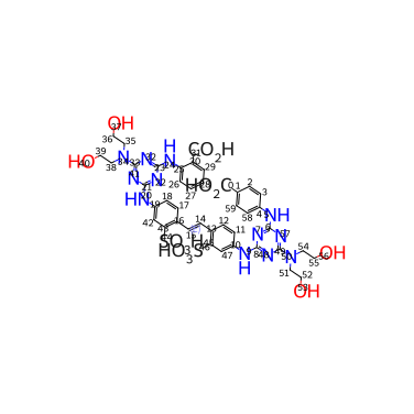 O=C(O)c1ccc(Nc2nc(Nc3ccc(/C=C/c4ccc(Nc5nc(Nc6ccccc6C(=O)O)nc(N(CCO)CCO)n5)cc4S(=O)(=O)O)c(S(=O)(=O)O)c3)nc(N(CCO)CCO)n2)cc1